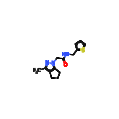 O=C(Cn1nc(C(F)(F)F)c2c1CCC2)NCc1cccs1